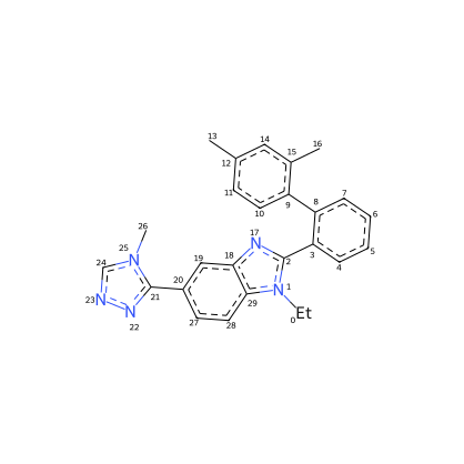 CCn1c(-c2ccccc2-c2ccc(C)cc2C)nc2cc(-c3nncn3C)ccc21